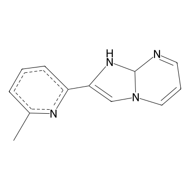 Cc1cccc(C2=CN3C=CC=NC3N2)n1